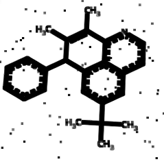 CC1=C(C)C(c2ccccc2)c2cc(C(C)(C)C)cc3ccnc1c23